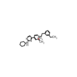 C=C/C=C(\C=C/N(C)CCc1cccc(CC)c1)c1ccnc(NC2CCCCC2)n1